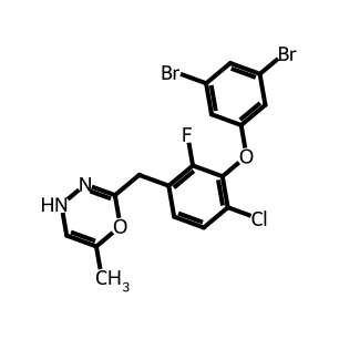 CC1=CNN=C(Cc2ccc(Cl)c(Oc3cc(Br)cc(Br)c3)c2F)O1